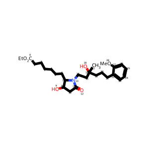 CCOC(=O)CCCCCCC1C(O)CC(=O)N1CCC(C)(O)CCCc1ccccc1OC